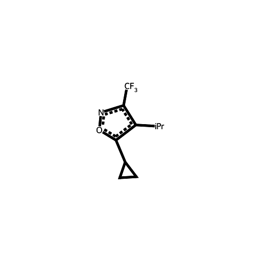 CC(C)c1c(C(F)(F)F)noc1C1CC1